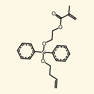 C=CCCO[Si](OCCOC(=O)C(=C)C)(c1ccccc1)c1ccccc1